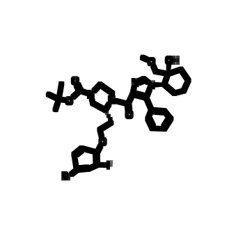 COC[C@]1(O)CCCC[C@H]1n1cnc(C(=O)N2CCN(C(=O)OC(C)(C)C)C[C@H]2CCOc2ccc(Br)cc2F)c1-c1ccccc1